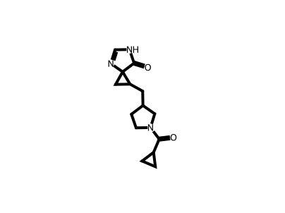 O=C(C1CC1)N1CCC(CC2CC23N=CNC3=O)C1